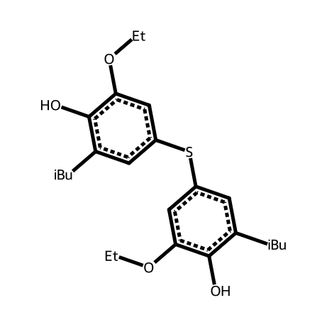 CCOc1cc(Sc2cc(OCC)c(O)c(C(C)CC)c2)cc(C(C)CC)c1O